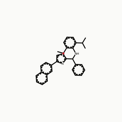 CC(C)c1cccc(C(C)C)c1NC(c1ccccc1)c1nc(-c2ccc3ccccc3c2)cs1